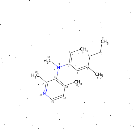 C/C=C(\C=C(\C)CCC)N(C)c1c(C)ccnc1C